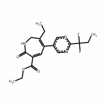 CCOC(=O)C1=CC(c2cnc(C(F)(F)CC)nc2)=C(CC)CNC1=O